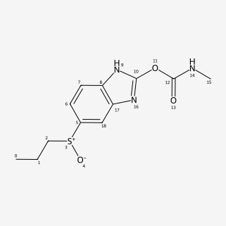 CCC[S+]([O-])c1ccc2[nH]c(OC(=O)NC)nc2c1